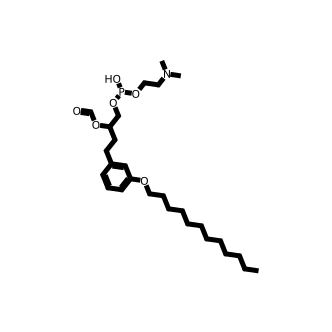 CCCCCCCCCCCCOc1cccc(CCC(COP(O)OCCN(C)C)OC=O)c1